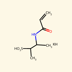 C=CC(=O)NC(C)C(C)S(=O)(=O)O.[KH]